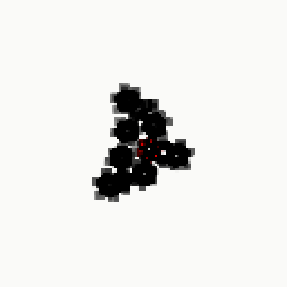 C1=C(c2cccc(-c3cccc4c3C3c5ccccc5C4c4c(-c5cccc(C6Nc7ccccc7N6c6ccccc6)c5)cccc43)c2)C(c2ccccc2)c2ccccc21